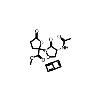 COC(=O)C1(N2OC[C@@H](NC(C)=O)C2=O)CCC(=O)O1.c1cc2ccc1-2